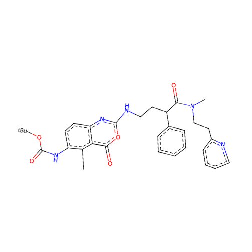 Cc1c(NC(=O)OC(C)(C)C)ccc2nc(NCCC(C(=O)N(C)CCc3ccccn3)c3ccccc3)oc(=O)c12